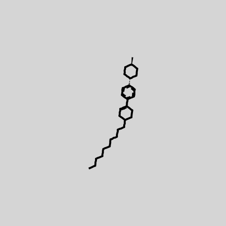 CCCCCCCCCCC1CC=C(c2ccc([C@H]3CC[C@H](C)CC3)cc2)CC1